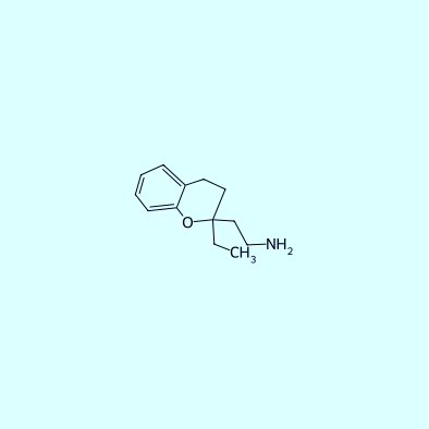 CCC1(CCN)CCc2ccccc2O1